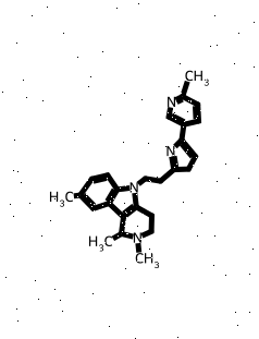 Cc1ccc2c(c1)c1c(n2CCC2=NC(c3ccc(C)nc3)=CC2)CCN(C)C1C